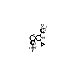 Cn1cc([C@@H]2C[C@]3(C[C@H](C4CC4)N2)OCCc2cc(C(F)(F)F)sc23)nn1